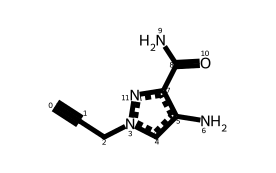 C#CCn1cc(N)c(C(N)=O)n1